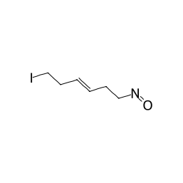 O=NCC/C=C/CCI